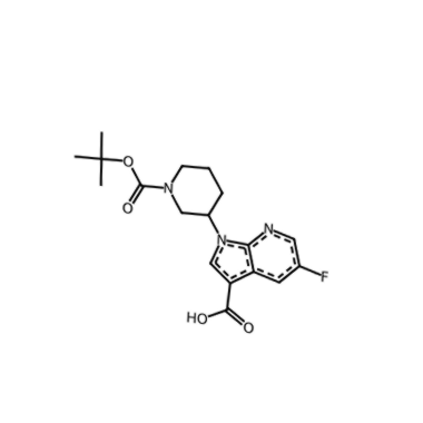 CC(C)(C)OC(=O)N1CCCC(n2cc(C(=O)O)c3cc(F)cnc32)C1